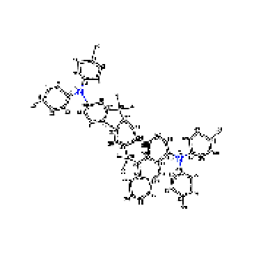 Cc1ccc(N(c2ccc(C)cc2)c2ccc3c(c2)C(C)(C)c2cc4c(cc2-3)C(C)(C)c2c3ccccc3cc3c(N(c5ccc(C)cc5)c5ccc(C)cc5)ccc-4c23)cc1